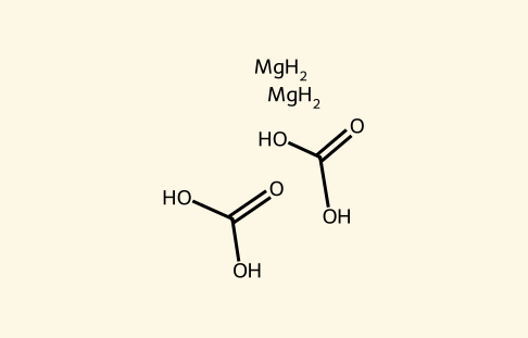 O=C(O)O.O=C(O)O.[MgH2].[MgH2]